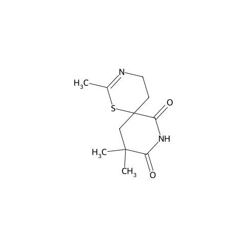 CC1=NCCC2(CC(C)(C)C(=O)NC2=O)S1